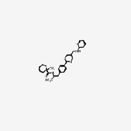 CC1(C(=O)NC(Cc2ccc(C3=NCC(CNc4ccccn4)CO3)cc2)C(=O)O)CCCCC1